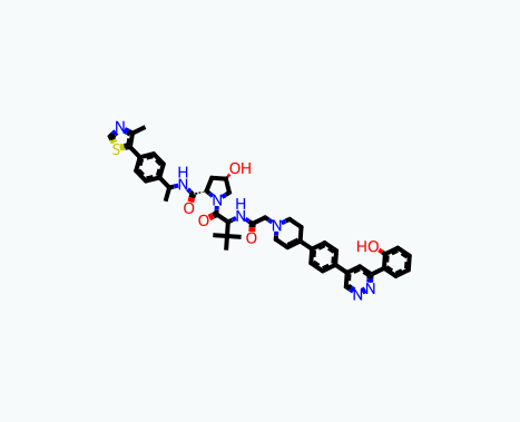 Cc1ncsc1-c1ccc(C(C)NC(=O)[C@@H]2C[C@@H](O)CN2C(=O)C(NC(=O)CN2CC=C(c3ccc(-c4cnnc(-c5ccccc5O)c4)cc3)CC2)C(C)(C)C)cc1